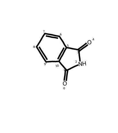 O=C1NC(=O)c2cc[c][c]c21